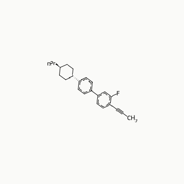 CC#Cc1ccc(-c2ccc([C@H]3CC[C@H](CCC)CC3)cc2)cc1F